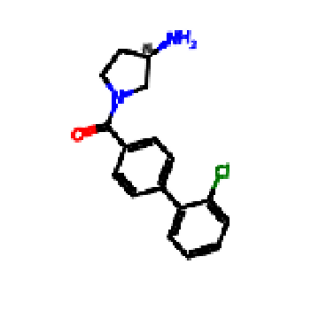 N[C@@H]1CCN(C(=O)c2ccc(-c3ccccc3Cl)cc2)C1